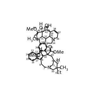 CCC1(C)C[C@H]2C[N@](CCc3c([nH]c4ccccc34)[C@@](C(=O)OC)(c3cc4c(cc3OC)N(C)C3[C@]45CCN4CC=C[C@](CC)(C45)[C@@H](O)[C@]3(O)C(=O)OC)C2)C1